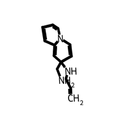 C=CCNC1(CN)C=CN2C=CC=CC2=C1